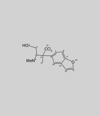 CNC(CO)C(C)(c1ccc2occc2c1)C(Cl)(Cl)Cl